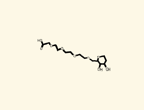 O=C(O)COCCOCCOCCOCC1OCCC(O)C1O